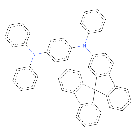 c1ccc(N(c2ccccc2)c2ccc(N(c3ccccc3)c3ccc4c(c3)C3(c5ccccc5-c5ccccc53)c3ccccc3-4)cc2)cc1